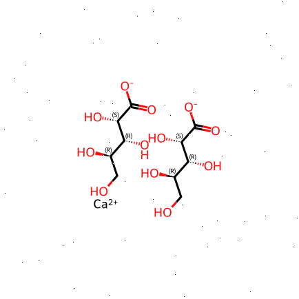 O=C([O-])[C@@H](O)[C@H](O)[C@H](O)CO.O=C([O-])[C@@H](O)[C@H](O)[C@H](O)CO.[Ca+2]